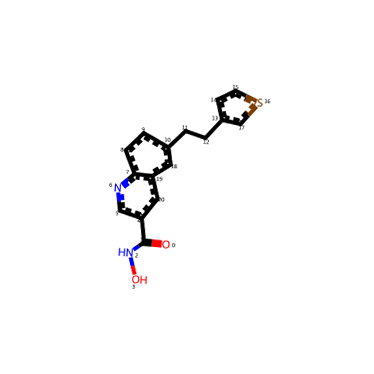 O=C(NO)c1cnc2ccc(CCc3ccsc3)cc2c1